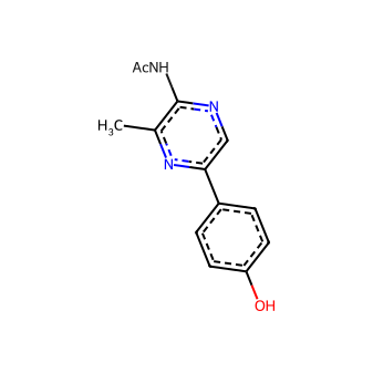 CC(=O)Nc1ncc(-c2ccc(O)cc2)nc1C